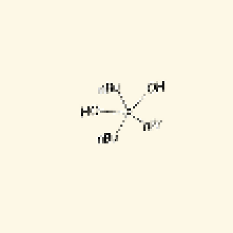 CCCCP(O)(O)(CCC)CCCC